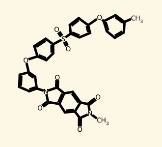 Cc1cccc(Oc2ccc(S(=O)(=O)c3ccc(Oc4cccc(-n5c(=O)c6cc7c(=O)n(C)c(=O)c7cc6c5=O)c4)cc3)cc2)c1